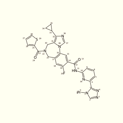 CC(C)n1cnnc1-c1cccc(NC(=O)c2cc3c(cc2F)CN(C(=O)c2cccs2)Cc2c(C4CC4)ncn2-3)n1